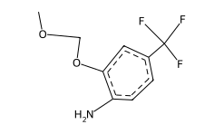 COCOc1cc(C(F)(F)F)ccc1N